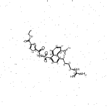 CCOC(=O)c1csc(C(=O)NS(=O)(=O)c2ccc(CCCCNC(=N)N)c3c(N(C)C)cccc23)n1